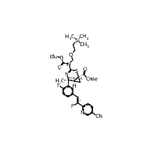 COC(=O)[C@]12C[C@H]1[C@@](C)(c1cc(/C=C(\F)c3ccc(C#N)cn3)ccc1F)N=C(N(COCC[Si](C)(C)C)C(=O)OC(C)(C)C)S2